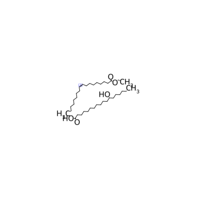 CCCCCCC(O)CCCCCCCCCCC(=O)O.CCCCCCCC/C=C\CCCCCCCC(=O)OCC